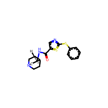 O=C(N[C@H]1CN2CCC1CC2)c1cnc(Sc2ccccc2)s1